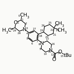 CC1CN(c2ccc(N3CCN(C(=O)OC(C)(C)C)CC3)c(C3CCC(C)(C)CC3)c2)CC(C)O1